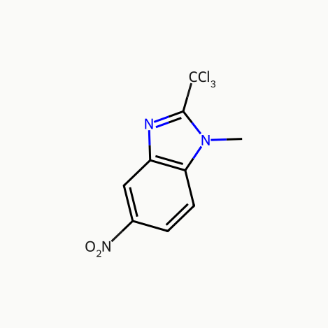 Cn1c(C(Cl)(Cl)Cl)nc2cc([N+](=O)[O-])ccc21